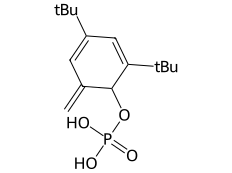 C=C1C=C(C(C)(C)C)C=C(C(C)(C)C)C1OP(=O)(O)O